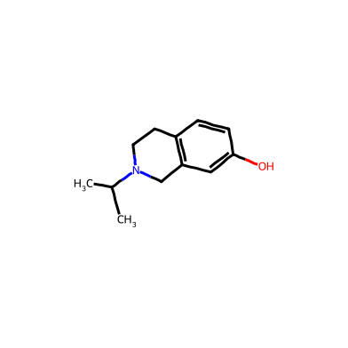 CC(C)N1CCc2ccc(O)cc2C1